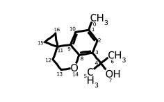 Cc1cc(C(C)(C)O)c2c(c1)C1(CCO2)CC1